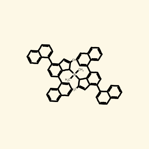 CC1=Cc2c(-c3cccc4ccccc34)ccc(-c3cccc4ccccc34)c2C1[Si](C)(C)C1C(C)=Cc2c(-c3cccc4ccccc34)ccc(-c3cccc4ccccc34)c21